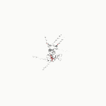 CCCCCCCCCCCCCC(=O)N[C@@H](CC(=O)N[C@@H]1[C@H](OC[C@H]2O[C@H](OCc3ccccc3)[C@@H](NC(=O)C[C@@H](CCCCCCCCCCC)OC(=O)CCCCCCCCCCCCC)[C@@H](OCc3ccccc3)[C@@H]2OCc2ccccc2)O[C@H](COCc2ccccc2)[C@@H](O)[C@@H]1OC(=O)C[C@@H](CCCCCCCCCCC)OC(=O)CCCCCCCCCCCCC)C(=O)NCCCCCCCCC